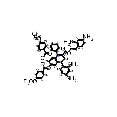 Nc1ccc(CCOC(=O)/C(CCc2ccc(N)cc2N)=C(/c2ccc(OC(=O)c3ccc(OC(F)(F)F)cc3)cc2)c2ccccc2OC(=O)c2ccc(OCC(F)(F)F)cc2)c(N)c1